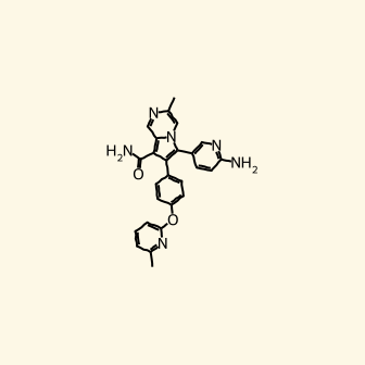 Cc1cn2c(-c3ccc(N)nc3)c(-c3ccc(Oc4cccc(C)n4)cc3)c(C(N)=O)c2cn1